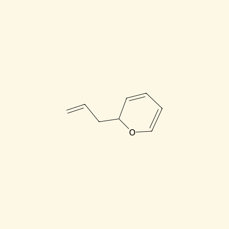 C=CCC1C=CC=CO1